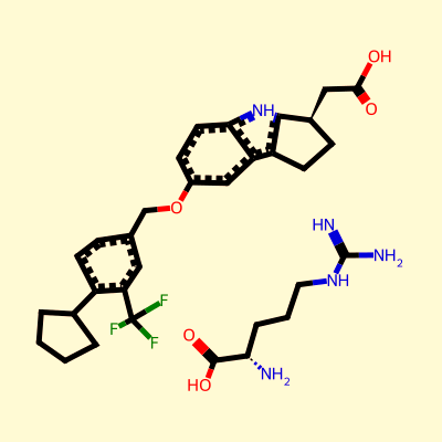 N=C(N)NCCC[C@H](N)C(=O)O.O=C(O)C[C@H]1CCc2c1[nH]c1ccc(OCc3ccc(C4CCCC4)c(C(F)(F)F)c3)cc21